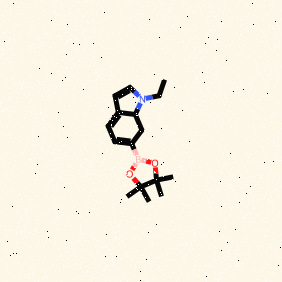 CCN1C=CC2=CC=C(B3OC(C)(C)C(C)(C)O3)CC21